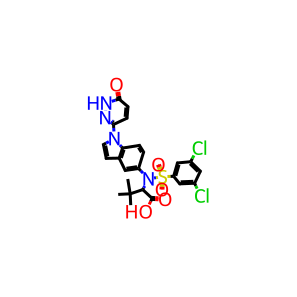 CC(C)(C)C(C(=O)O)N(c1ccc2c(ccn2-c2ccc(=O)[nH]n2)c1)S(=O)(=O)c1cc(Cl)cc(Cl)c1